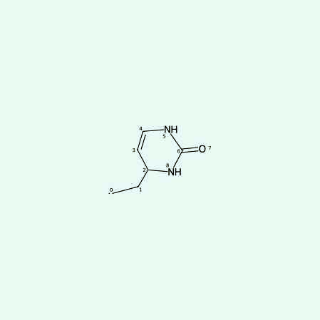 [CH2]CC1C=CNC(=O)N1